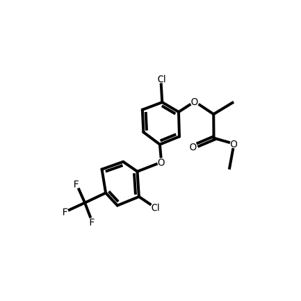 COC(=O)C(C)Oc1cc(Oc2ccc(C(F)(F)F)cc2Cl)ccc1Cl